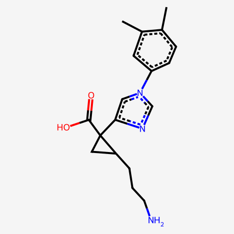 Cc1ccc(-n2cnc(C3(C(=O)O)CC3CCCN)c2)cc1C